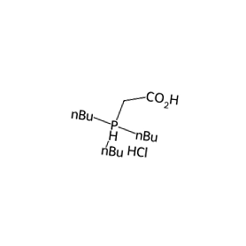 CCCC[PH](CCCC)(CCCC)CC(=O)O.Cl